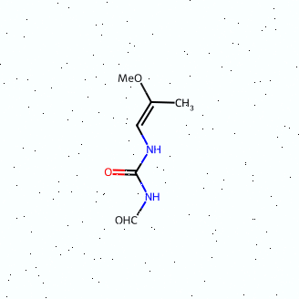 CO/C(C)=C/NC(=O)NC=O